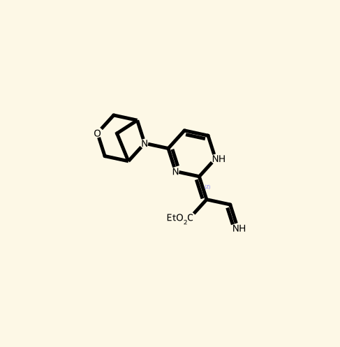 CCOC(=O)/C(C=N)=C1\N=C(N2C3COCC2C3)C=CN1